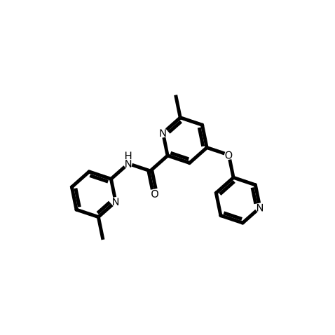 Cc1cccc(NC(=O)c2cc(Oc3cccnc3)cc(C)n2)n1